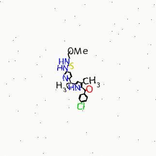 COCCNC(=S)Nc1ccc(C(C)c2cc(C)c(C(=O)c3ccc(Cl)cc3)[nH]2)nc1